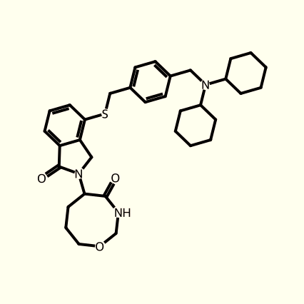 O=C1NCOCCCC1N1Cc2c(SCc3ccc(CN(C4CCCCC4)C4CCCCC4)cc3)cccc2C1=O